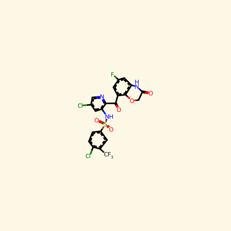 O=C1COc2c(cc(F)cc2C(=O)c2ncc(Cl)cc2NS(=O)(=O)c2ccc(Cl)c(C(F)(F)F)c2)N1